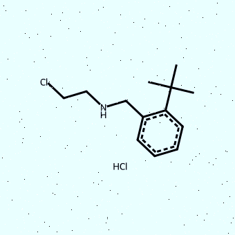 CC(C)(C)c1ccccc1CNCCCl.Cl